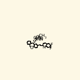 CS(=O)(=O)NC(=O)CSC1c2ccccc2COc2ccc(C=Cc3ccc4cc(F)c(F)cc4n3)cc21